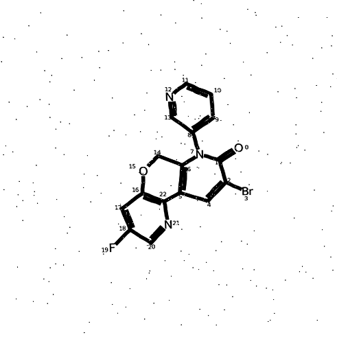 O=c1c(Br)cc2c(n1-c1cccnc1)COc1cc(F)cnc1-2